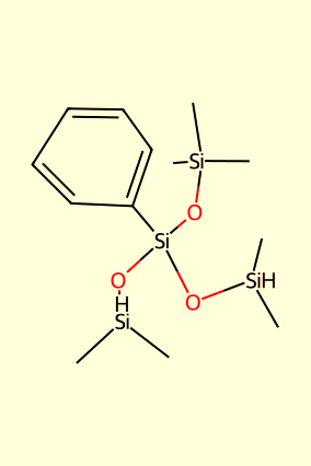 C[SiH](C)O[Si](O[SiH](C)C)(O[Si](C)(C)C)c1ccccc1